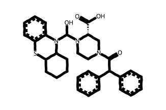 O=C(O)[C@@H]1CN(C(=O)C(c2ccccc2)c2ccccc2)CCN1C(O)N1c2ccccc2SC2CCCCC21